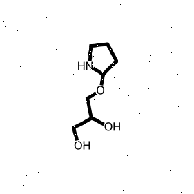 OCC(O)COC1CCCN1